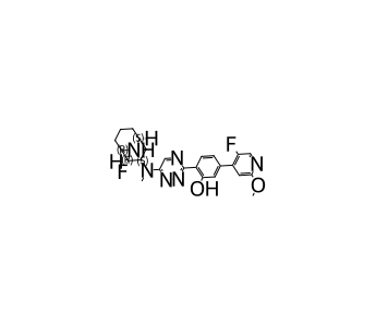 COc1cc(-c2ccc(-c3ncc(N(C)[C@H]4C[C@@H]5CCC[C@@H](N5)[C@H]4F)nn3)c(O)c2)c(F)cn1